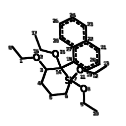 CCOC1CCC[Si](OCC)(OCC)C1(OCC)c1cccc2ccccc12